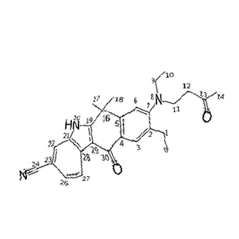 CCc1cc2c(cc1N(CC)CCC(C)=O)C(C)(C)c1[nH]c3cc(C#N)ccc3c1C2=O